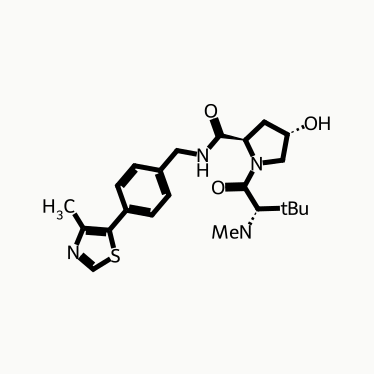 CN[C@H](C(=O)N1C[C@@H](O)C[C@@H]1C(=O)NCc1ccc(-c2scnc2C)cc1)C(C)(C)C